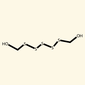 OCSSSSSCO